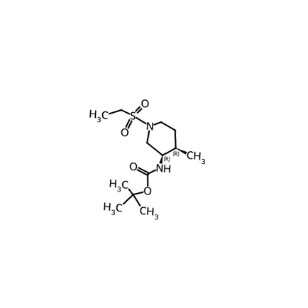 CCS(=O)(=O)N1CC[C@@H](C)[C@@H](NC(=O)OC(C)(C)C)C1